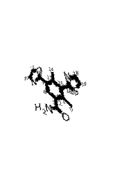 Cc1c(C(N)=O)cc(-c2ncco2)c(C)c1-c1nccs1